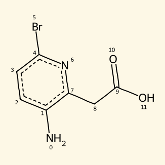 Nc1ccc(Br)nc1CC(=O)O